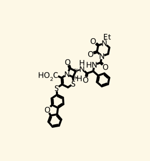 CCN1CCN(C(=O)NC(C(=O)N[C@@H]2C(=O)N3C(C(=O)O)=C(Sc4ccc5c(c4)oc4ccccc45)CS[C@H]23)c2ccccc2)C(=O)C1=O